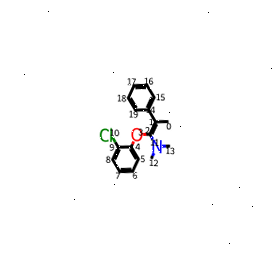 CC(=C(Oc1ccccc1Cl)N(C)C)c1ccccc1